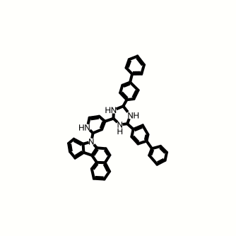 C1=CC(C2NC(c3ccc(-c4ccccc4)cc3)NC(c3ccc(-c4ccccc4)cc3)N2)=CC(n2c3ccccc3c3c4ccccc4ccc32)N1